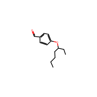 CCCCC(CC)Oc1ccc(C=O)cc1